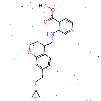 COC(=O)c1ccncc1NCC1CCOc2cc(CCC3CC3)ccc21